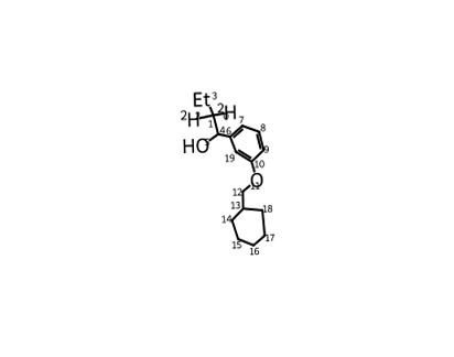 [2H]C([2H])(CC)C(O)c1cccc(OCC2CCCCC2)c1